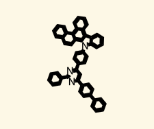 c1ccc(-c2ccc(-c3cc(-c4ccc(-n5c6ccccc6c6c7ccccc7c7c8ccccc8ccc7c65)cc4)nc(-c4ccccc4)n3)cc2)cc1